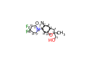 CC1(CO)Cc2cc([N+](=O)[O-])c(N3CCC(F)(F)CC3)cc2O1